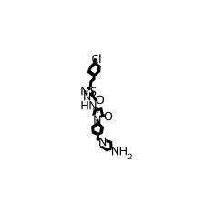 NC1CCN(Cc2ccc(N3C[C@H](NC(=O)c4nnc(CCc5ccc(Cl)cc5)s4)CC3=O)cc2)CC1